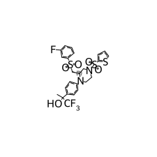 CC(O)(c1ccc(N2CCN(S(=O)(=O)c3cccs3)C[C@@H]2CS(=O)(=O)c2cccc(F)c2)cc1)C(F)(F)F